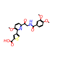 COc1ccc(C(=O)NCC(=O)c2ccc(OC)c(-c3csc(C(=O)O)c3)n2)cc1OC